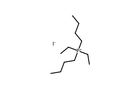 CCCC[P+](CC)(CC)CCCC.[I-]